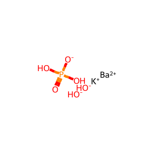 O=P([O-])(O)O.[Ba+2].[K+].[OH-].[OH-]